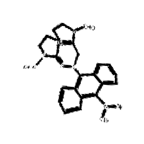 [CH]N([N])c1c2ccccc2c(N([CH]C2=NCCN2C=O)N=C2NCCN2C=O)c2ccccc12